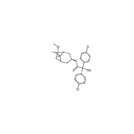 COC1(C)CC2C[C@H](OC(=O)C(O)(c3ccc(Cl)cc3)c3ccc(Cl)cc3)CC1[N+]2(C)C